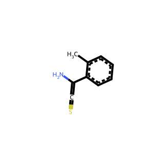 Cc1ccccc1C(N)=C=S